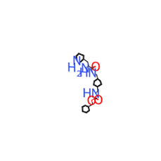 N[C@@H](Cc1cccnc1)C(=O)NCc1ccc(CNC(=O)OCc2ccccc2)cc1